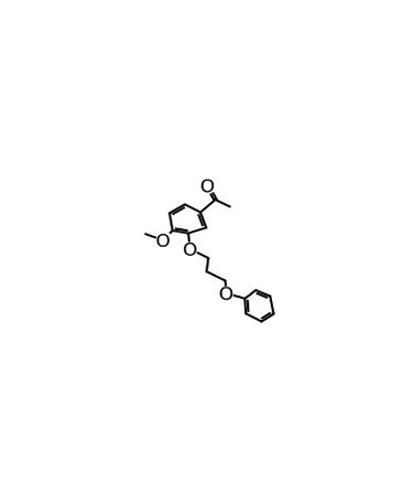 COc1ccc(C(C)=O)cc1OCCCOc1ccccc1